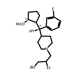 CCC[C@@](c1cccc(F)c1)(C1CCN(CC(CC)CC(C)CC)CC1)C1CCC[C@@H]1OC